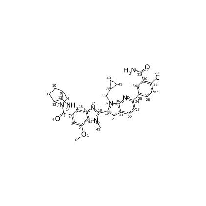 COc1cc(C(=O)N2CC3CCC2C3N)cc2nc(-c3cc4ccc(-c5ccc(Cl)c(C(N)=O)c5)nc4n3CC3CC3)n(C)c12